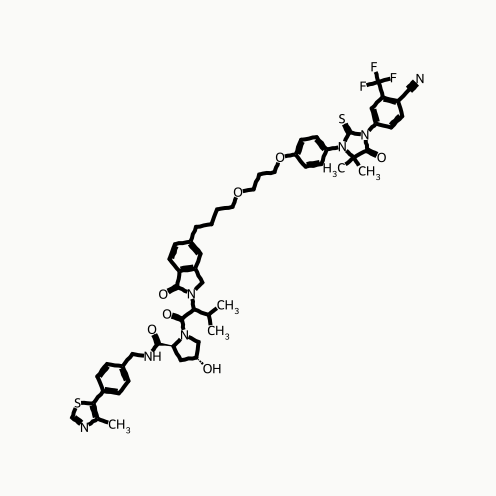 Cc1ncsc1-c1ccc(CNC(=O)[C@@H]2C[C@@H](O)CN2C(=O)C(C(C)C)N2Cc3cc(CCCCOCCCOc4ccc(N5C(=S)N(c6ccc(C#N)c(C(F)(F)F)c6)C(=O)C5(C)C)cc4)ccc3C2=O)cc1